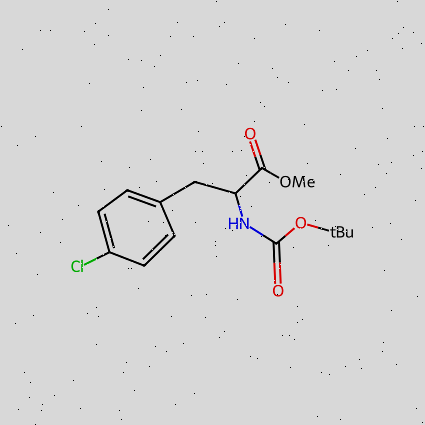 COC(=O)C(Cc1ccc(Cl)cc1)NC(=O)OC(C)(C)C